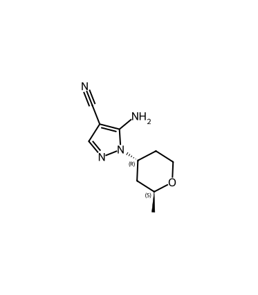 C[C@H]1C[C@H](n2ncc(C#N)c2N)CCO1